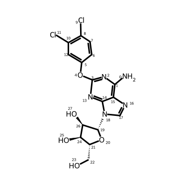 Nc1nc(Oc2ccc(Cl)c(Cl)c2)nc2c1ncn2[C@@H]1O[C@H](CO)[C@@H](O)[C@H]1O